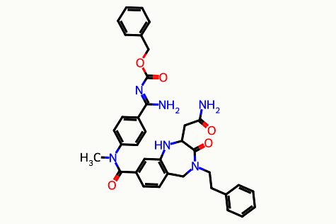 CN(C(=O)c1ccc2c(c1)NC(CC(N)=O)C(=O)N(CCc1ccccc1)C2)c1ccc(C(N)=NC(=O)OCc2ccccc2)cc1